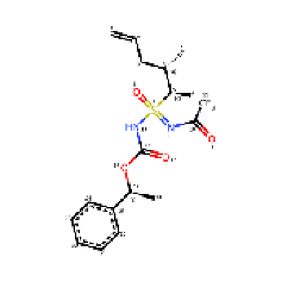 C=CC[C@H](C)[C@@H](C)S(=O)(=NC(=O)C(F)(F)F)NC(=O)O[C@@H](C)c1ccccc1